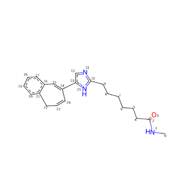 CNC(=O)CCCCCCc1ncc(C2=Cc3ccccc3CC=C2)[nH]1